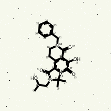 CC(O)CN1C(=O)c2c3c(c(O)c(=O)n2C1(C)C)C(=O)N(Cc1ccccc1)CC3